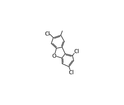 Cc1cc2c(cc1Cl)oc1cc(Cl)cc(Cl)c12